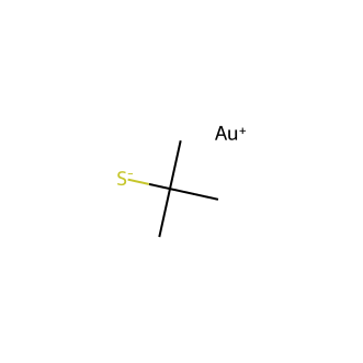 CC(C)(C)[S-].[Au+]